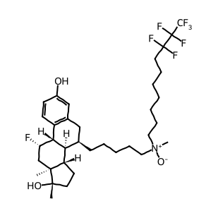 C[C@]1(O)CC[C@H]2[C@@H]3[C@H](CCCCC[N+](C)([O-])CCCCCCCC(F)(F)C(F)(F)C(F)(F)F)Cc4cc(O)ccc4[C@H]3[C@@H](F)C[C@@]21C